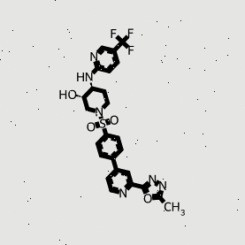 Cc1nnc(-c2cc(-c3ccc(S(=O)(=O)N4CC[C@@H](Nc5ccc(C(F)(F)F)cn5)[C@@H](O)C4)cc3)ccn2)o1